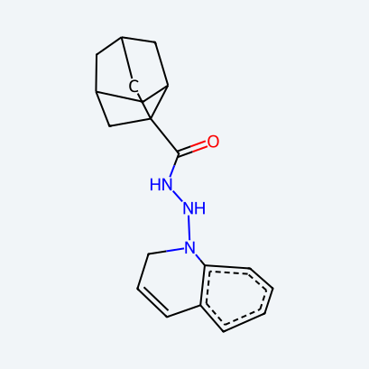 O=C(NNN1CC=Cc2ccccc21)C12CC3CC(CC1C3)C2